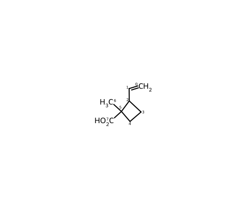 C=CC1CCC1(C)C(=O)O